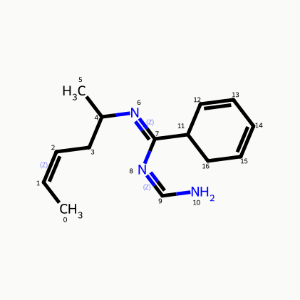 C/C=C\CC(C)/N=C(\N=C/N)C1C=CC=CC1